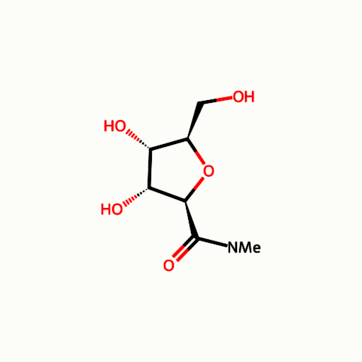 CNC(=O)[C@@H]1O[C@H](CO)[C@@H](O)[C@H]1O